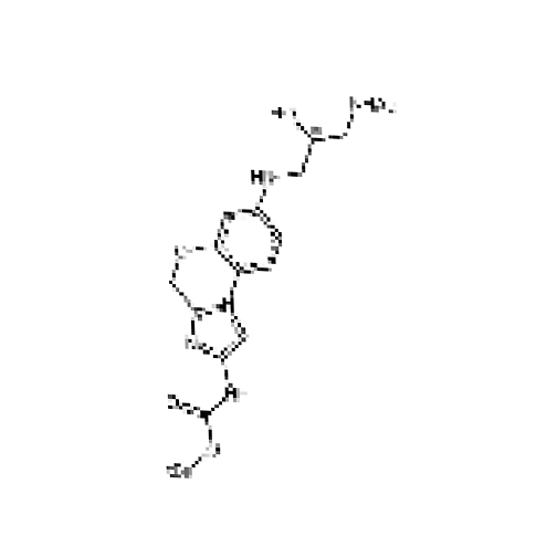 CC(=O)NC[C@H](O)CNc1ccc2c(c1)OCc1nc(NC(=O)OC(C)(C)C)cn1-2